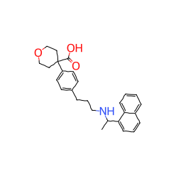 CC(NCCCc1ccc(C2(C(=O)O)CCOCC2)cc1)c1cccc2ccccc12